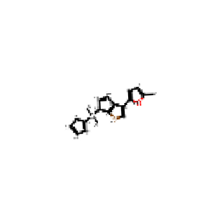 Cc1ccc(-c2csc3c2C=CC3[Si](C)(C)C2=CC=CC2)o1